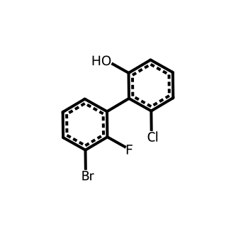 Oc1cccc(Cl)c1-c1cccc(Br)c1F